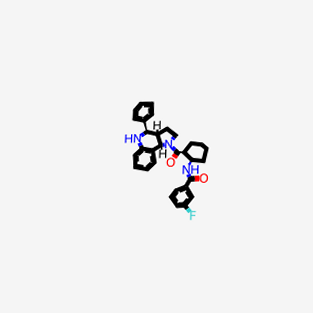 O=C(N[C@@H]1CCCC[C@@H]1C(=O)N1CC[C@H]2[C@H](c3ccccc3)Nc3ccccc3[C@@H]21)c1cccc(F)c1